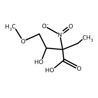 CCC(C(=O)O)(C(O)COC)[N+](=O)[O-]